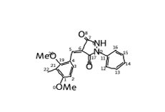 COc1ccc(C=C2C(=O)NN(c3ccccc3)C2=O)c(OC)c1C